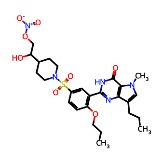 CCCOc1ccc(S(=O)(=O)N2CCC(C(O)CO[N+](=O)[O-])CC2)cc1-c1nc2c(CCC)cn(C)c2c(=O)[nH]1